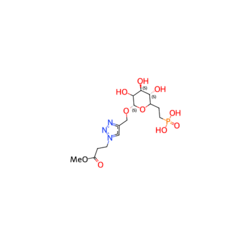 COC(=O)CCn1cc(CO[C@H]2OC(CCP(=O)(O)O)[C@@H](O)[C@H](O)C2O)nn1